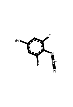 CC(C)c1cc(F)c(N=[N+]=[N-])c(F)c1